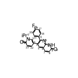 CC(C)n1cc(-c2cc3ccc(=O)[nH]c3nc2-c2ccc(F)cc2)ccc1=O